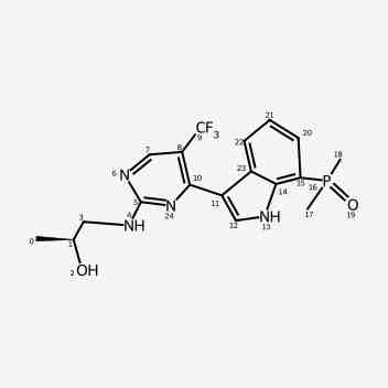 C[C@H](O)CNc1ncc(C(F)(F)F)c(-c2c[nH]c3c(P(C)(C)=O)cccc23)n1